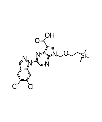 C[Si](C)(C)CCOCn1cc(C(=O)O)c2nc(-n3ncc4cc(Cl)c(Cl)cc43)cnc21